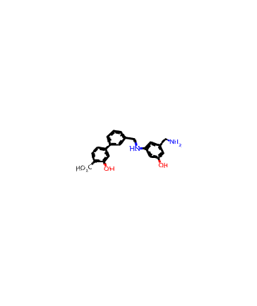 NCc1cc(O)cc(NCc2cccc(-c3ccc(C(=O)O)c(O)c3)c2)c1